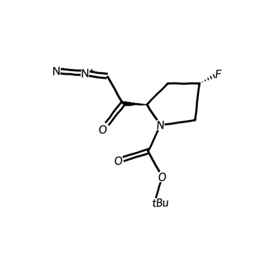 CC(C)(C)OC(=O)N1C[C@@H](F)C[C@@H]1C(=O)C=[N+]=[N-]